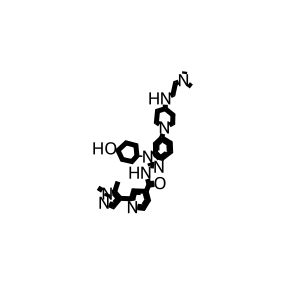 Cc1c(-c2cc(C(=O)Nc3nc4ccc(N5CCC(NCCN(C)C)CC5)cc4n3[C@H]3CC[C@@H](O)CC3)ccn2)cnn1C